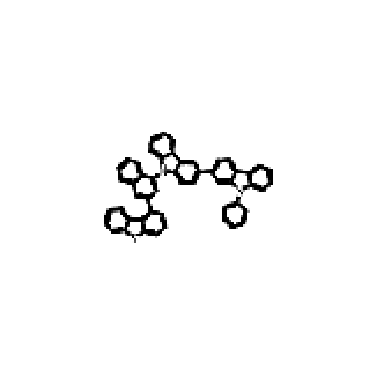 c1ccc(-n2c3ccccc3c3ccc(-c4ccc5c(c4)c4ccccc4n5-c4cc(-c5cccc6sc7ccccc7c56)cc5ccccc45)cc32)cc1